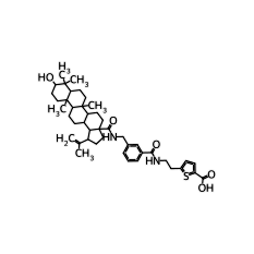 C=C(C)C1CCC2(C(=O)NCc3cccc(C(=O)NCCc4ccc(C(=O)O)s4)c3)CCC3C(CCC4C3(C)CCC3C(C)(C)C(O)CCC34C)C12